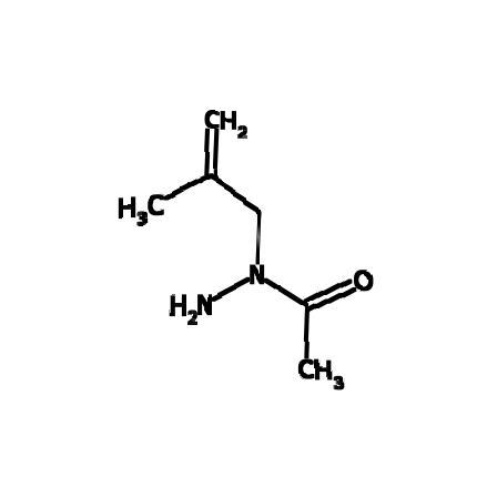 C=C(C)CN(N)C(C)=O